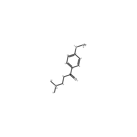 CCCSc1ccc(C(=O)CCN(C)C)cc1